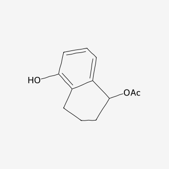 CC(=O)OC1CCCc2c(O)cccc21